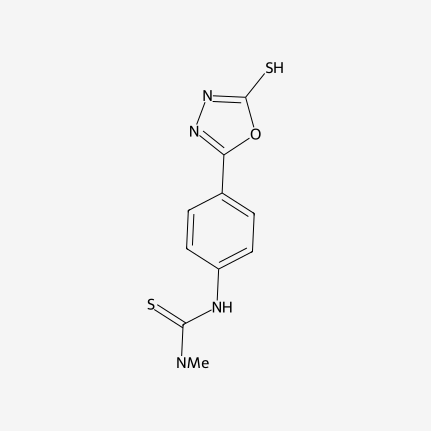 CNC(=S)Nc1ccc(-c2nnc(S)o2)cc1